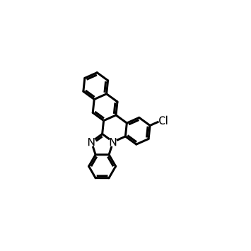 Clc1ccc2c(c1)c1cc3ccccc3cc1c1nc3ccccc3n21